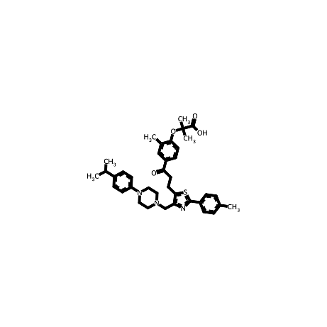 Cc1ccc(-c2nc(CN3CCN(c4ccc(C(C)C)cc4)CC3)c(CCC(=O)c3ccc(OC(C)(C)C(=O)O)c(C)c3)s2)cc1